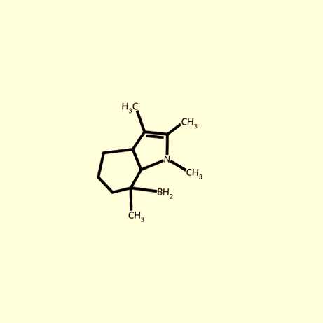 BC1(C)CCCC2C(C)=C(C)N(C)C21